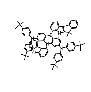 CC(C)(C)c1ccc(N(c2ccc(C(C)(C)C)cc2)c2ccc3c(c2)N(c2cccc4oc5ccccc5c24)c2cc(N(c4ccc(C(C)(C)C)cc4)c4ccc(C(C)(C)C)cc4)cc4c2B3c2cccc3c5c(n-4c23)C(C)(C)c2ccccc2-5)cc1